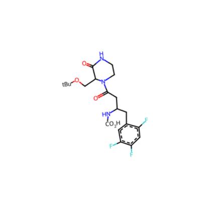 CC(C)(C)OCC1C(=O)NCCN1C(=O)CC(Cc1cc(F)c(F)cc1F)NC(=O)O